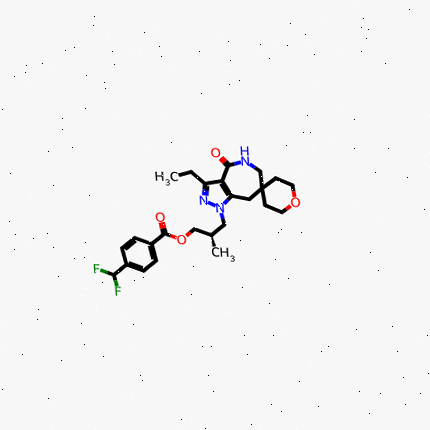 CCc1nn(C[C@@H](C)COC(=O)c2ccc(C(F)F)cc2)c2c1C(=O)NCC1(CCOCC1)C2